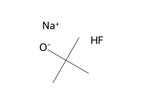 CC(C)(C)[O-].F.[Na+]